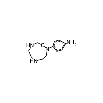 Nc1ccc(N2CCNCCNCC2)cc1